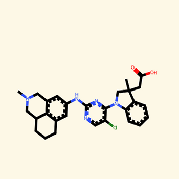 CN1Cc2cc(Nc3ncc(Cl)c(N4CC(C)(CC(=O)O)c5ccccc54)n3)cc3c2C(CCC3)C1